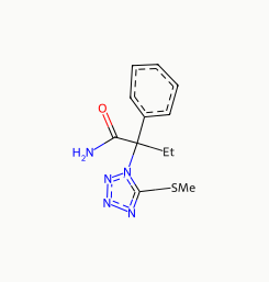 [CH2]Sc1nnnn1C(CC)(C(N)=O)c1ccccc1